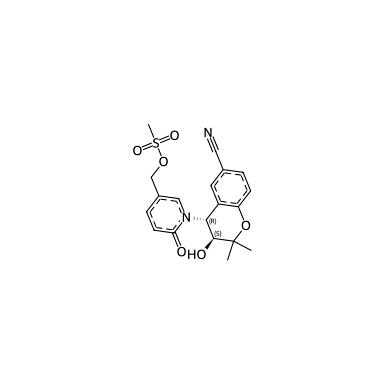 CC1(C)Oc2ccc(C#N)cc2[C@@H](n2cc(COS(C)(=O)=O)ccc2=O)[C@@H]1O